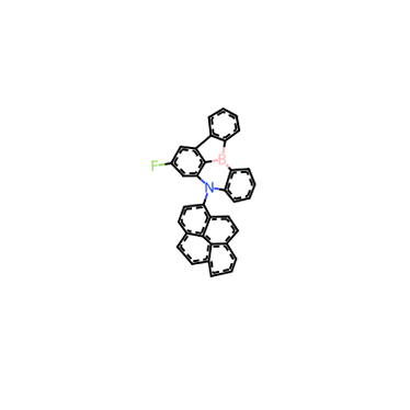 Fc1cc2c3c(c1)N(c1ccc4ccc5cccc6ccc1c4c56)c1ccccc1B3c1ccccc1-2